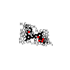 CNC(=O)N1C(C)(C)CC(OC(=O)C(Cc2cc(C(C)(C)C)c(O)c(C(C)(C)C)c2)(Cc2cc(C(C)(C)C)c(O)c(C(C)(C)C)c2)C(=O)OC2CC(C)(C)N(C(=O)NC)C(C)(C)C2)CC1(C)C